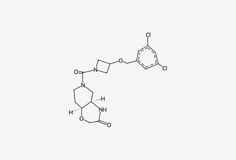 O=C1CO[C@H]2CCN(C(=O)N3CC(OCc4cc(Cl)cc(Cl)c4)C3)C[C@H]2N1